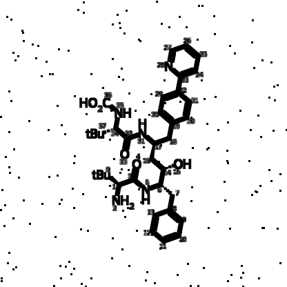 CC(C)(C)[C@H](N)C(=O)N[C@@H](Cc1ccccc1)[C@@H](O)C[C@H](Cc1ccc(-c2ccccn2)cc1)NC(=O)[C@@H](NC(=O)O)C(C)(C)C